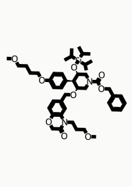 COCCCCOc1ccc([C@@H]2[C@@H](OCc3ccc4c(c3)N(CCCOC)C(=O)CO4)CN(C(=O)OCc3ccccc3)C[C@H]2O[Si](C(C)C)(C(C)C)C(C)C)cc1